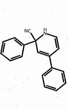 N#CC1(c2ccccc2)C=C(c2ccccc2)C=CN1